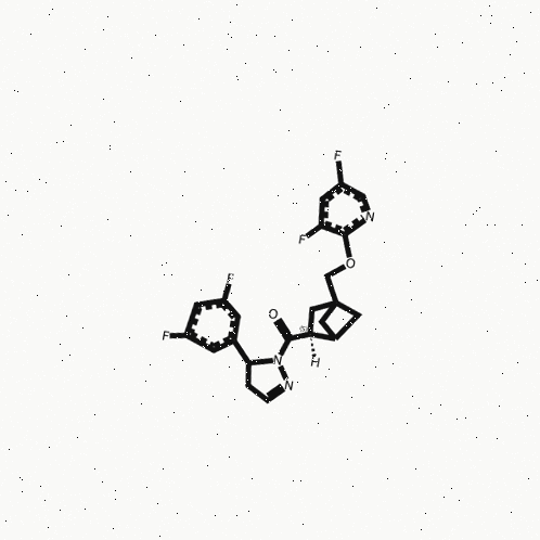 O=C([C@H]1CC2(COc3ncc(F)cc3F)CC1C2)N1N=CCC1c1cc(F)cc(F)c1